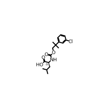 CC(C)C[C@H](NC(=O)OCC(C)(C)c1cccc(Cl)c1)C(=O)O